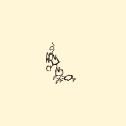 CCOCc1nnc2c(Cl)c(N3CCC(c4ccc(F)cc4)(C(F)(F)F)CC3)ccn12